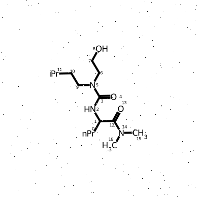 CCCC(NC(=O)N(CCO)CCC(C)C)C(=O)N(C)C